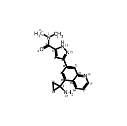 CN(C)C(=O)c1cc(-c2cc(C3(N)CC3)c3cccnc3c2)n[nH]1